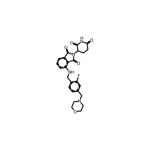 O=C1CCC(N2C(=O)c3cccc(NCc4ccc(CN5CCOCC5)cc4F)c3C2=O)C(=O)N1